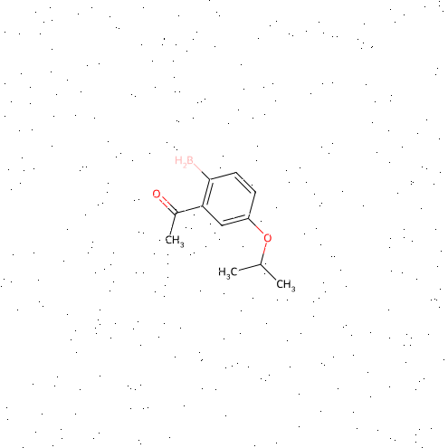 Bc1ccc(OC(C)C)cc1C(C)=O